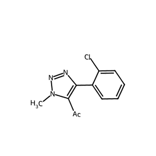 CC(=O)c1c(-c2ccccc2Cl)nnn1C